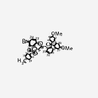 COc1ccc(C(OC[C@@H](COS(=O)(=O)c2ccc(C)cc2)Oc2ccc(Br)cc2)(c2ccccc2)c2ccc(OC)cc2)cc1